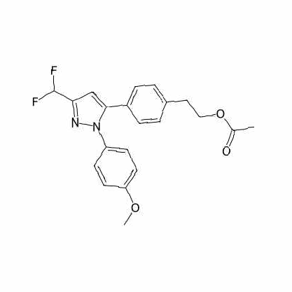 COc1ccc(-n2nc(C(F)F)cc2-c2ccc(CCOC(C)=O)cc2)cc1